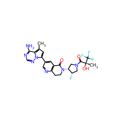 Cc1cc(-c2cnc3c(c2)C(=O)N([C@@H]2CN(C(=O)[C@@](C)(O)C(F)(F)F)C[C@@H]2F)CC3)n2ncnc(N)c12